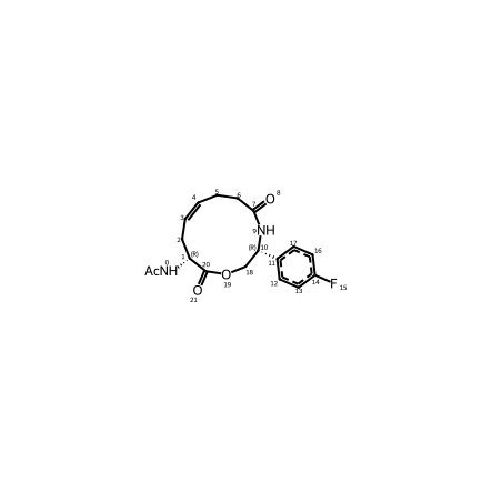 CC(=O)N[C@@H]1CC=CCCC(=O)N[C@H](c2ccc(F)cc2)COC1=O